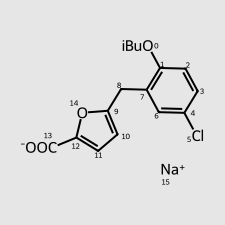 CC(C)COc1ccc(Cl)cc1Cc1ccc(C(=O)[O-])o1.[Na+]